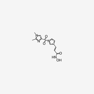 Cc1nc(S(=O)(=O)n2ccc(C=CC(=O)NO)c2)cn1C